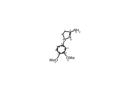 COc1ccc(N2CCC(N)=N2)cc1OC